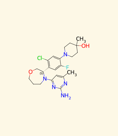 Cc1cc(N2CCCOC[C@@H]2c2cc(F)c(N3CCC(C)(O)CC3)cc2Cl)nc(N)n1